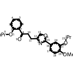 CCCOc1ccccc1C(=O)CCc1coc(-c2ccc(OC)c(OC(C)C)c2)n1